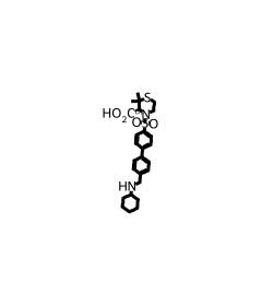 CC1(C)SCCN(S(=O)(=O)c2ccc(-c3ccc(CNC4CCCCC4)cc3)cc2)[C@H]1C(=O)O